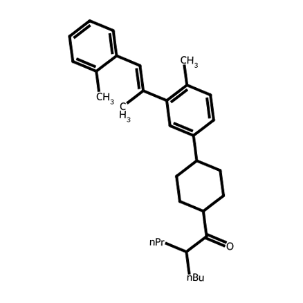 CCCCC(CCC)C(=O)C1CCC(c2ccc(C)c(/C(C)=C/c3ccccc3C)c2)CC1